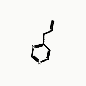 C=CCc1ccncn1